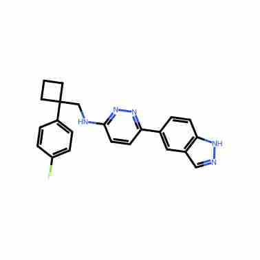 Fc1ccc(C2(CNc3ccc(-c4ccc5[nH]ncc5c4)nn3)CCC2)cc1